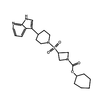 O=C(OC1CCCCC1)N1CC(S(=O)(=O)N2CCC(c3c[nH]c4ncccc34)CC2)C1